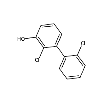 Oc1cccc(-c2ccccc2Cl)c1Cl